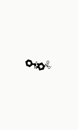 O=[N+]([O-])c1ccc2nc(-c3ccccc3)sc2c1